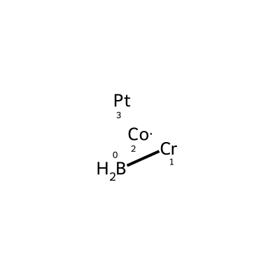 [BH2][Cr].[Co].[Pt]